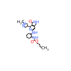 CCCCOC(=O)N[C@H]1CCCC[C@H]1Nc1cc2c(c(C3C=NN(C)C3)n1)C(=O)NC2